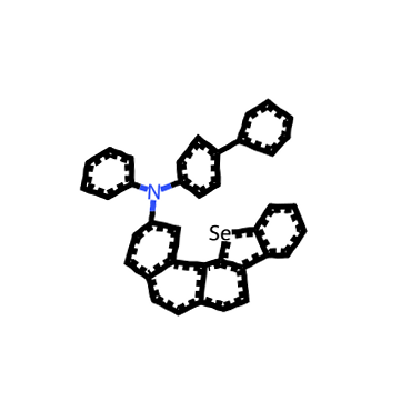 c1ccc(-c2ccc(N(c3ccccc3)c3ccc4ccc5ccc6c7ccccc7[se]c6c5c4c3)cc2)cc1